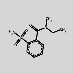 CCN(C)C(=O)c1cccnc1S(N)(=O)=O